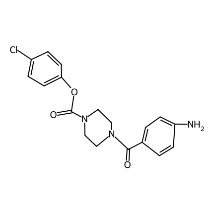 Nc1ccc(C(=O)N2CCN(C(=O)Oc3ccc(Cl)cc3)CC2)cc1